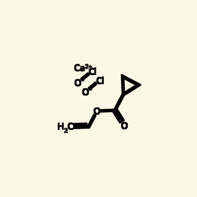 C=COC(=O)C1CC1.[Ca+2].[O-]Cl.[O-]Cl